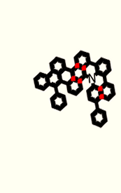 c1ccc(-c2ccc(N(c3ccc(-c4cccc5c4c(-c4ccccc4)c(-c4ccccc4)c4ccccc45)cc3)c3c(-c4ccccc4)cccc3-c3ccccc3)cc2)cc1